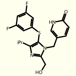 CC(C)c1nc(CO)n(Cc2ccc(=O)[nH]c2)c1Sc1cc(F)cc(F)c1